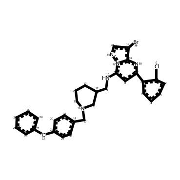 Clc1ccccc1-c1cc(NCC2CCCN(Cc3ccc(Oc4ccccc4)cc3)C2)n2ncc(Br)c2n1